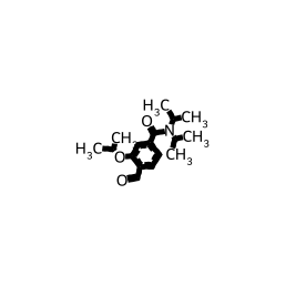 CC(C)Oc1cc(C(=O)N(C(C)C)C(C)C)ccc1C=O